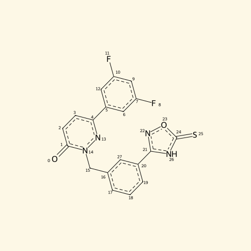 O=c1ccc(-c2cc(F)cc(F)c2)nn1Cc1cccc(-c2noc(=S)[nH]2)c1